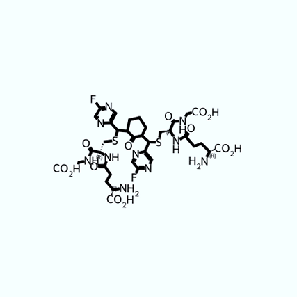 N[C@H](CCC(=O)N[C@@H](CSC(c1cnc(F)cn1)C1CCCC(C(SC[C@H](NC(=O)CC[C@H](N)C(=O)O)C(=O)NCC(=O)O)c2cnc(F)cn2)C1=O)C(=O)NCC(=O)O)C(=O)O